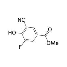 COC(=O)c1cc(F)c(O)c(C#N)c1